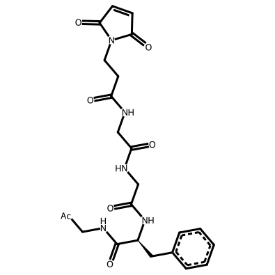 CC(=O)CNC(=O)[C@H](Cc1ccccc1)NC(=O)CNC(=O)CNC(=O)CCN1C(=O)C=CC1=O